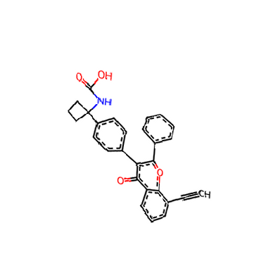 C#Cc1cccc2c(=O)c(-c3ccc(C4(NC(=O)O)CCC4)cc3)c(-c3ccccc3)oc12